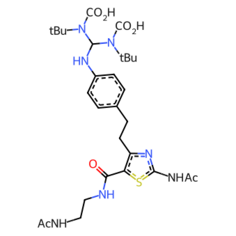 CC(=O)NCCNC(=O)c1sc(NC(C)=O)nc1CCc1ccc(NC(N(C(=O)O)C(C)(C)C)N(C(=O)O)C(C)(C)C)cc1